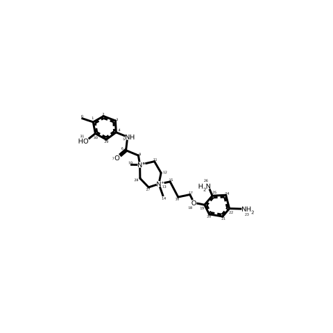 Cc1ccc(NC(=O)C[N+]2(C)CC[N+](C)(CCCOc3ccc(N)cc3N)CC2)cc1O